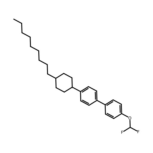 CCCCCCCCCC1CC[C](c2ccc(-c3ccc(OC(F)F)cc3)cc2)CC1